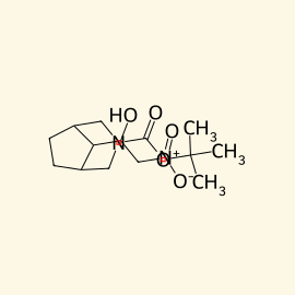 CC(C)(C)OC(=O)N1CC2CCC(C1)C2C(O)C[N+](=O)[O-]